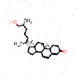 CC(CCC[C@H](C)CO)[C@H]1CCC2C3C=CC4=CC(=O)CC[C@]4(C)C3CC[C@@]21C